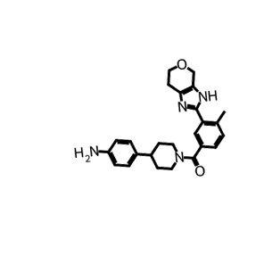 Cc1ccc(C(=O)N2CCC(c3ccc(N)cc3)CC2)cc1-c1nc2c([nH]1)COCC2